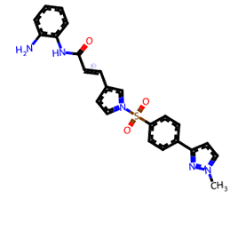 Cn1ccc(-c2ccc(S(=O)(=O)n3ccc(/C=C/C(=O)Nc4ccccc4N)c3)cc2)n1